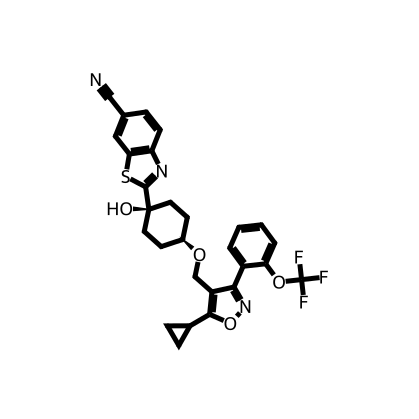 N#Cc1ccc2nc([C@]3(O)CC[C@@H](OCc4c(-c5ccccc5OC(F)(F)F)noc4C4CC4)CC3)sc2c1